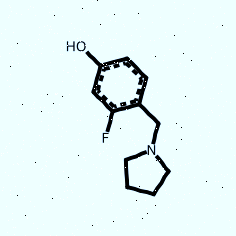 Oc1ccc(CN2CCCC2)c(F)c1